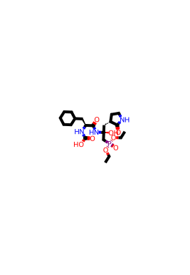 CCOP(=O)(C[C@@](O)(C[C@@H]1CCNC1=O)NC(=O)[C@H](CC1CCCCC1)NC(=O)O)OCC